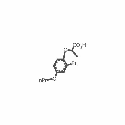 CCCOc1ccc(OC(C)C(=O)O)c(CC)c1